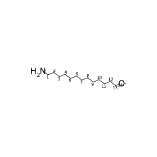 NCCCCCCCCCCCCC[O]